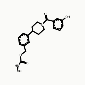 CC(C)(C)NC(=O)OCc1cccc(C2CCN(C(=O)c3cccc(O)c3)CC2)c1